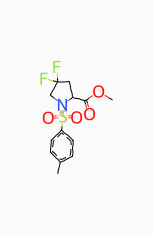 COC(=O)C1CC(F)(F)CN1S(=O)(=O)c1ccc(C)cc1